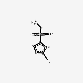 CCS(=O)(=O)c1cnc(I)s1